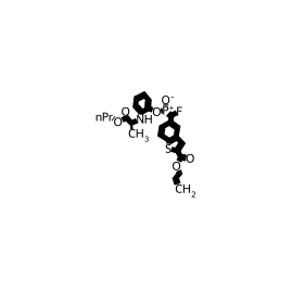 C=CCOC(=O)c1cc2cc(C(F)=[P+]([O-])Oc3ccccc3N[C@@H](C)C(=O)OCCC)ccc2s1